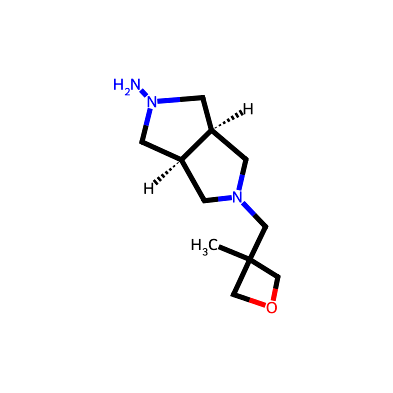 CC1(CN2C[C@H]3CN(N)C[C@H]3C2)COC1